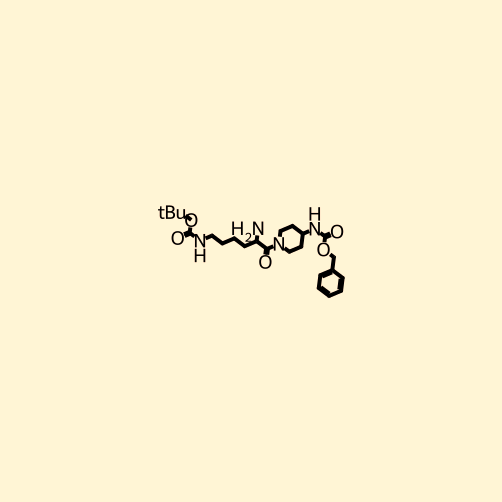 CC(C)(C)OC(=O)NCCCCC(N)C(=O)N1CCC(NC(=O)OCc2ccccc2)CC1